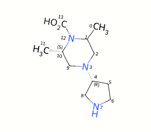 CC1CN([C@@H]2CCNC2)C[C@H](C)N1C(=O)O